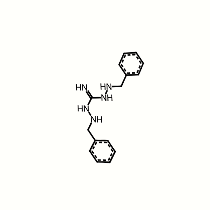 N=C(NNCc1ccccc1)NNCc1ccccc1